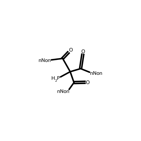 CCCCCCCCCC(=O)C(P)(C(=O)CCCCCCCCC)C(=O)CCCCCCCCC